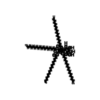 CCCCCCCCCCCCCCCCCC(=O)OC[C@H]1O[C@@](COC(=O)CCCCCCCCCCCCCCCCC)(O[C@H]2O[C@H](CO)[C@@H](O)[C@H](O)[C@H]2O)[C@@H](OC(=O)CCCCCCCCCCCCCCCCC)[C@@H]1OC(=O)CCCCCCCCCCCCCCCCC